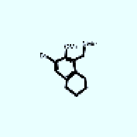 CNCc1c2c(cc(Br)c1OC)CCCC2